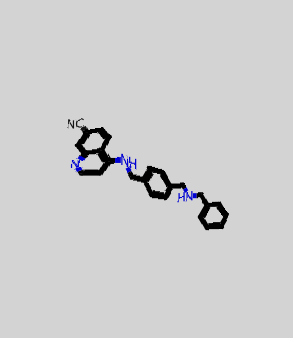 N#Cc1ccc2c(NCc3ccc(CNCc4ccccc4)cc3)ccnc2c1